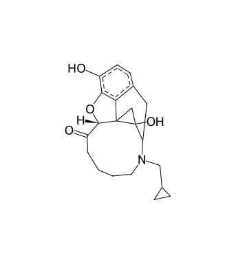 O=C1CCCCN(CC2CC2)C2Cc3ccc(O)c4c3C3(CC23O)[C@H]1O4